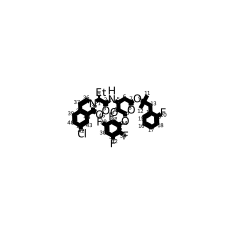 CC[C@@H](C(=O)NC(CC(=O)OC(C)(C)Cc1ccccc1F)C(=O)COc1c(F)c(F)cc(F)c1F)n1ccc2ccc(Cl)cc2c1=O